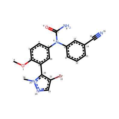 COc1ccc(N(C(N)=O)c2cccc(C#N)c2)cc1-c1c(Br)cnn1C